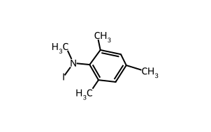 Cc1cc(C)c(N(C)I)c(C)c1